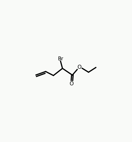 C=CCC(Br)C(=O)OCC